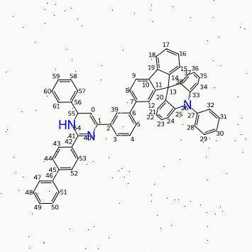 C1=C(c2cccc(-c3ccc4c(c3)C3(c5ccccc5-4)c4ccccc4N(c4ccccc4)c4ccccc43)c2)N=C(c2ccc(-c3ccccc3)cc2)NC1c1ccccc1